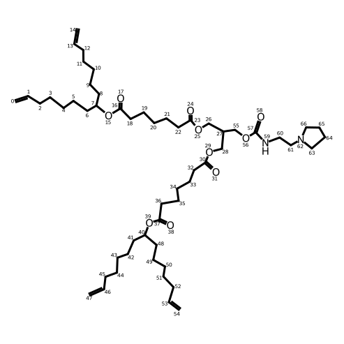 C=CCCCCCC(CCCCCC=C)OC(=O)CCCCCC(=O)OCC(COC(=O)CCCCCC(=O)OC(CCCCCC=C)CCCCCC=C)COC(=O)NCCN1CCCC1